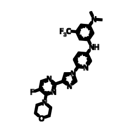 CN(C)c1cc(Nc2ccc(-n3cnc(-c4ncc(F)c(N5CCOCC5)n4)c3)nc2)cc(C(F)(F)F)c1